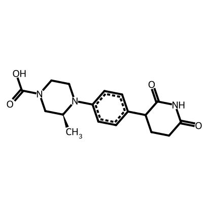 C[C@H]1CN(C(=O)O)CCN1c1ccc(C2CCC(=O)NC2=O)cc1